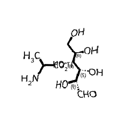 CC(N)C(=O)O.O=C[C@H](O)[C@@H](O)[C@H](O)[C@H](O)CO